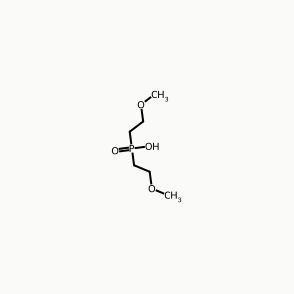 COCCP(=O)(O)CCOC